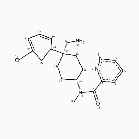 CN(C(=O)c1cccnn1)[C@H]1CC[C@](CN)(C2C=CC=C(Cl)C2)CC1